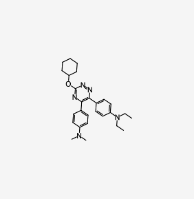 CCN(CC)c1ccc(-c2nnc(OC3CCCCC3)nc2-c2ccc(N(C)C)cc2)cc1